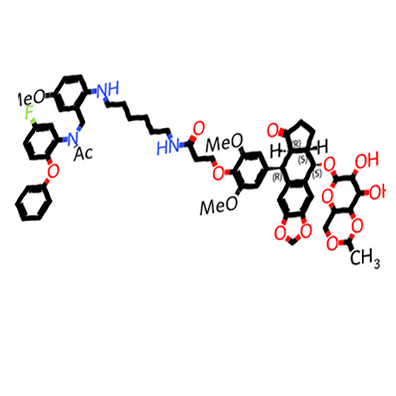 COc1ccc(NCCCCCCNC(=O)CCOc2c(OC)cc([C@@H]3c4cc5c(cc4[C@@H](OC4OC6COC(C)OC6C(O)C4O)[C@H]4CCC(=O)[C@H]34)OCO5)cc2OC)c(CN(C(C)=O)c2cc(F)ccc2Oc2ccccc2)c1